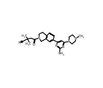 CN1CCN(c2cc(-c3ccc4c(c3)CN(C(=O)CC(C)(C)C#N)CC4)nc(N)n2)CC1